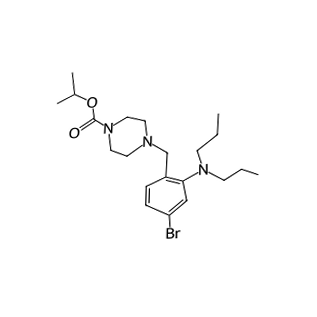 CCCN(CCC)c1cc(Br)ccc1CN1CCN(C(=O)OC(C)C)CC1